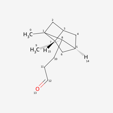 CC12CC3C[C@@H](C[C@@H]31)[C@@]2(C)CCC=O